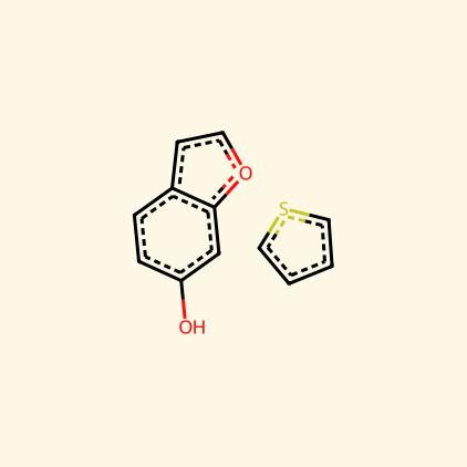 Oc1ccc2ccoc2c1.c1ccsc1